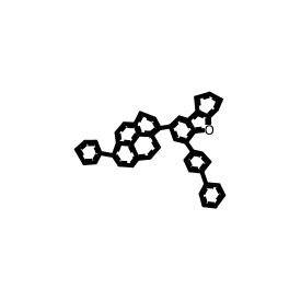 c1ccc(-c2ccc(-c3cc(-c4ccc5ccc6c(-c7ccccc7)ccc7ccc4c5c76)cc4c3oc3ccccc34)cc2)cc1